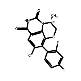 C[C@@H]1CSc2c(-c3ccc(F)cc3F)c(Cl)cc3c(=O)[nH]c(=O)n1c23